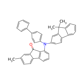 Cc1ccc2c(c1)C(=O)c1c-2cccc1N(c1ccc(-c2ccccc2)cc1)c1ccc2c(c1)C(C)(C)c1ccccc1-2